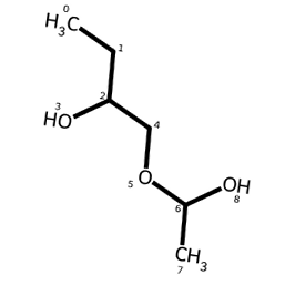 CCC(O)COC(C)O